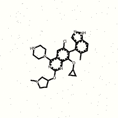 Cc1ccc2[nH]ncc2c1-c1c(Cl)cc2c(N3CCNCC3)nc(OC3CCN(C)C3)nc2c1OC1CC1